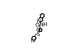 O=C(Nc1cc2ccccc2cn1)c1ccc(SCc2ccncc2)o1